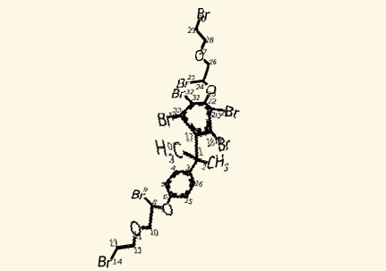 CC(C)(c1ccc(OC(Br)COCCBr)cc1)c1c(Br)c(Br)c(OC(Br)COCCBr)c(Br)c1Br